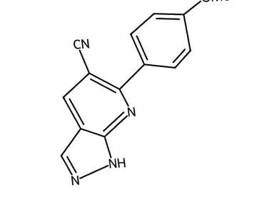 COc1ccc(-c2nc3[nH]ncc3cc2C#N)cc1